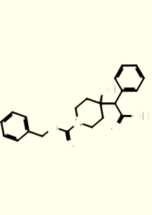 O=C(O)C(c1ccccc1)C1(O)CCN(C(=O)OCc2ccccc2)CC1